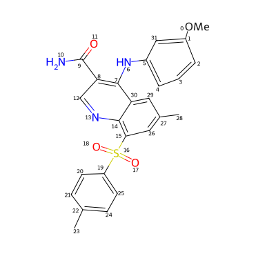 COc1cccc(Nc2c(C(N)=O)cnc3c(S(=O)(=O)c4ccc(C)cc4)cc(C)cc23)c1